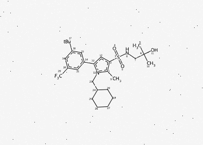 Cc1c(S(=O)(=O)NCC(C)(C)O)cc(-c2cc(C(C)(C)C)cc(C(F)(F)F)c2)n1CC1CCCCC1